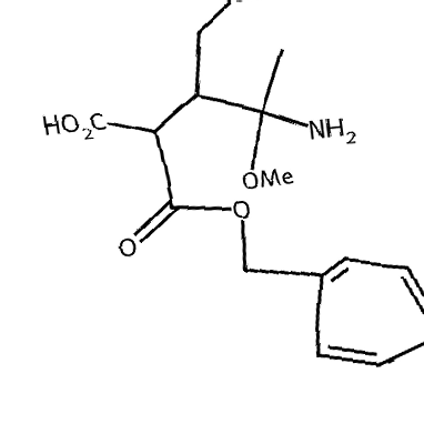 COCC(C(C(=O)O)C(=O)OCc1ccccc1)C(C)(N)OC